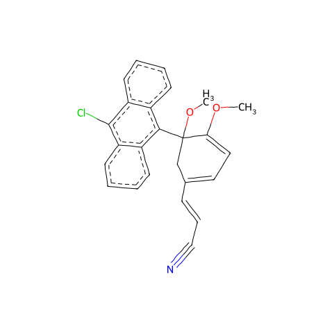 COC1=CC=C(C=CC#N)CC1(OC)c1c2ccccc2c(Cl)c2ccccc12